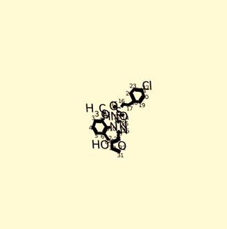 COc1cccc(CO)c1-n1c(NS(=O)(=O)CCc2ccc(Cl)cc2)nnc1-c1ccco1